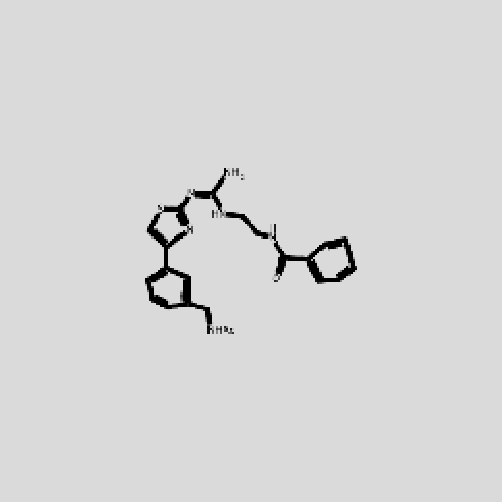 CC(=O)NCc1cccc(-c2csc(N=C(N)NCCNC(=O)c3ccccc3)n2)c1